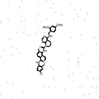 COc1ccc(CNc2ncnc3c2CCCN3C(=O)Nc2c(C)ccc3c(Nc4ccc(Cl)cc4F)nccc23)c(OC)c1